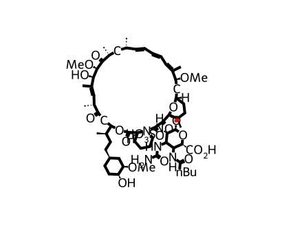 CCCCC(=O)NC1C(NC(N)=O)[C@H](NS(=O)(=O)O)[C@@H](O[C@@]23O[C@@H](CC[C@H]2C)C[C@H](OC)/C(C)=C/C=C/C=C/[C@@H](C)C[C@@H](C)C(=O)[C@H](OC)[C@H](O)/C(C)=C/[C@@H](C)C(=O)CC([C@H](C)CC[C@@H]2CC[C@@H](O)[C@H](OC)C2)OC(=O)[C@@H]2CCCCN2C(=O)C3=O)O[C@@H]1C(=O)O